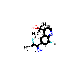 C=C(F)C(=N)c1cc(F)c2nccc(C(C)(C)O)c2c1